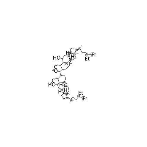 C=C=CC1C(C(=O)C2CC[C@@]3(C)C(C(O)C[C@H]4[C@@H]5CC[C@H]([C@H](C)CC[C@@H](CC)C(C)C)[C@@]5(C)CC[C@@H]43)C2C=C=C)CC[C@@]2(C)C1C(O)C[C@H]1[C@@H]3CC[C@H]([C@H](C)CC[C@@H](CC)C(C)C)[C@@]3(C)CC[C@@H]12